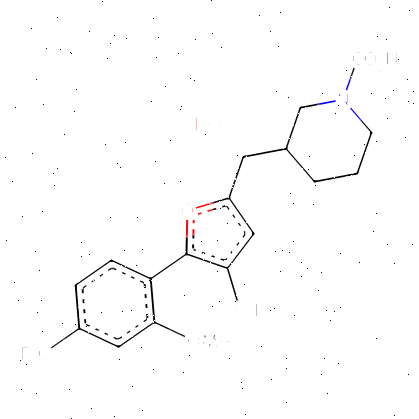 COc1cc(C(F)(F)F)ccc1-c1oc([C@H](O)C2CCCN(C(=O)O)C2)cc1C